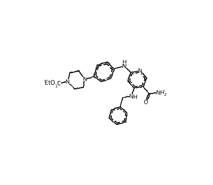 CCOC(=O)N1CCN(c2ccc(Nc3cc(NCc4ccccc4)c(C(N)=O)cn3)cc2)CC1